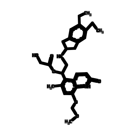 CCc1cc2c(cc1CC)CC(NCC(OC(=O)CO)c1c(C)cc(OCOC)c3[nH]c(=O)ccc13)C2